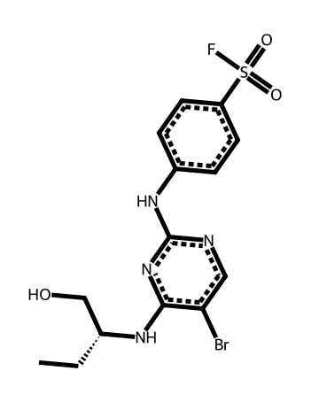 CC[C@H](CO)Nc1nc(Nc2ccc(S(=O)(=O)F)cc2)ncc1Br